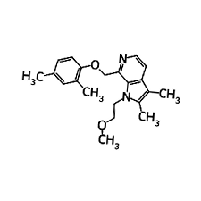 COCCn1c(C)c(C)c2ccnc(COc3ccc(C)cc3C)c21